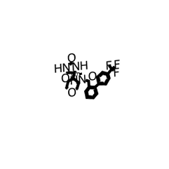 O=C1NC(=O)[C@](CNC(=O)c2ccccc2-c2ccc(C(F)(F)F)cc2)(C2CCOCC2)N1